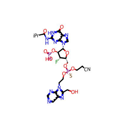 CC(C)C(=O)Nc1nc2c(ncn2[C@@H]2O[C@H](COP(=S)(OCCC#N)OCCn3c(CO)nc4cncnc43)[C@H](F)[C@H]2O[PH](=O)O)c(=O)[nH]1